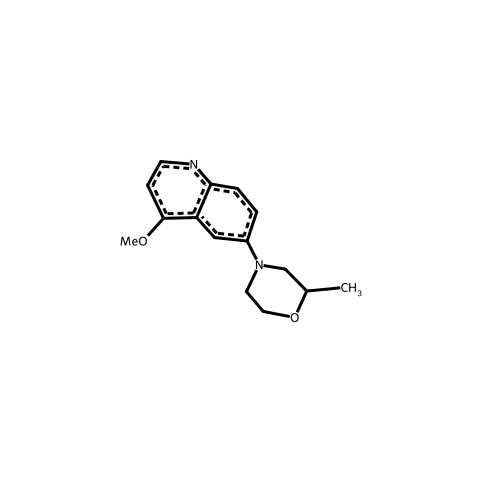 COc1ccnc2ccc(N3CCOC(C)C3)cc12